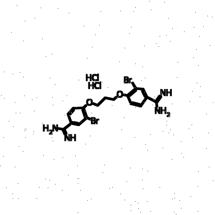 Cl.Cl.N=C(N)c1ccc(OCCCOc2ccc(C(=N)N)cc2Br)c(Br)c1